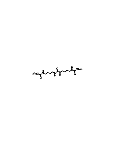 COC(=O)NCCCCNC(=O)NCCCCNC(=O)OC